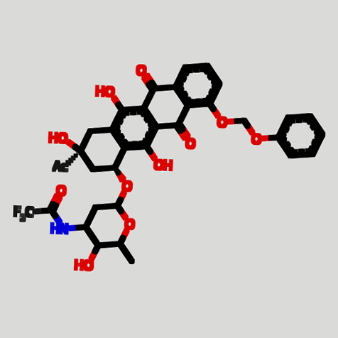 CC(=O)[C@]1(O)Cc2c(O)c3c(c(O)c2[C@@H](OC2CC(NC(=O)C(F)(F)F)C(O)C(C)O2)C1)C(=O)c1c(OCOc2ccccc2)cccc1C3=O